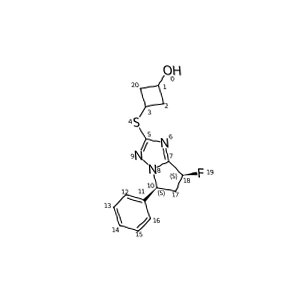 OC1CC(Sc2nc3n(n2)[C@H](c2ccccc2)C[C@@H]3F)C1